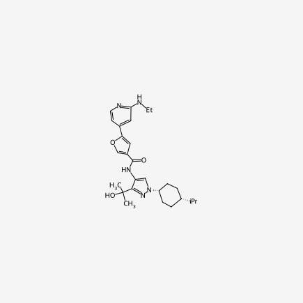 CCNc1cc(-c2cc(C(=O)Nc3cn([C@H]4CC[C@@H](C(C)C)CC4)nc3C(C)(C)O)co2)ccn1